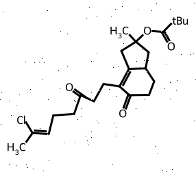 CC(Cl)=CCCC(=O)CCC1=C2CC(C)(OC(=O)C(C)(C)C)CC2CCC1=O